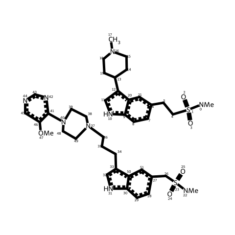 CNS(=O)(=O)CCc1ccc2[nH]cc(C3CCN(C)CC3)c2c1.CNS(=O)(=O)Cc1ccc2[nH]cc(CCCN3CCN(c4ncncc4OC)CC3)c2c1